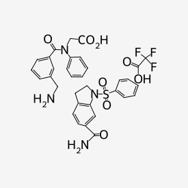 NC(=O)c1ccc2c(c1)N(S(=O)(=O)c1ccccc1)CC2.NCc1cccc(C(=O)N(CC(=O)O)c2ccccc2)c1.O=C(O)C(F)(F)F